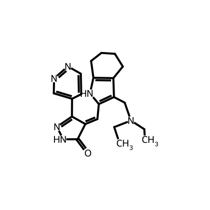 CCN(CC)Cc1c(/C=C2/C(=O)NN=C2c2ccnnc2)[nH]c2c1CCCC2